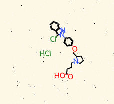 Cl.O=C(O)CCCN1CCCC1COc1ccc(-n2nc3ccccc3c2Cl)cc1